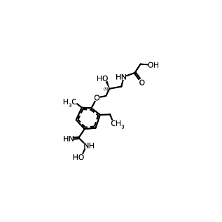 CCc1cc(C(=N)NO)cc(C)c1OC[C@@H](O)CNC(=O)CO